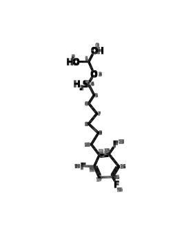 OC(O)O[SiH2]CCCCCCc1c(F)cc(F)cc1F